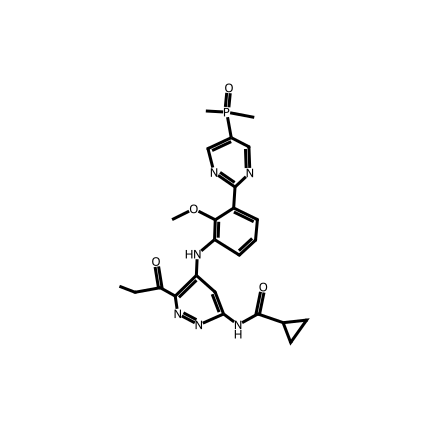 CCC(=O)c1nnc(NC(=O)C2CC2)cc1Nc1cccc(-c2ncc(P(C)(C)=O)cn2)c1OC